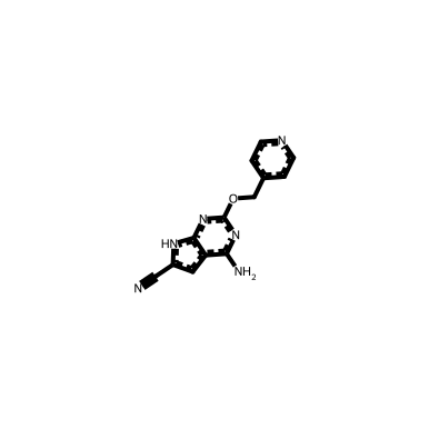 N#Cc1cc2c(N)nc(OCc3ccncc3)nc2[nH]1